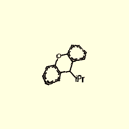 CC(C)C1c2ccccc2Oc2ccccc21